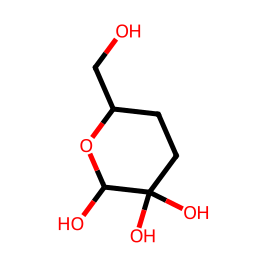 OCC1CCC(O)(O)[C](O)O1